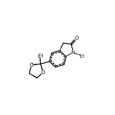 CCN1C(=O)Cc2cc(C3(CC)OCCO3)ccc21